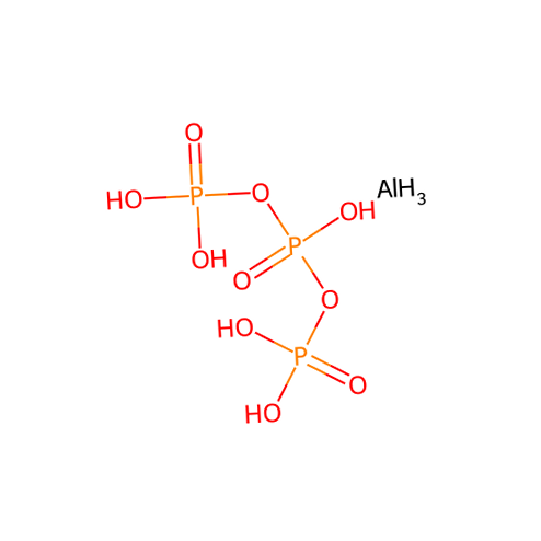 O=P(O)(O)OP(=O)(O)OP(=O)(O)O.[AlH3]